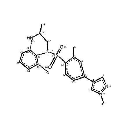 Cc1cc(-c2cnn(C)c2)ccc1S(=O)(=O)N1CC(C)Nc2cccc(C)c21